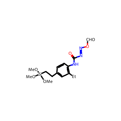 CCc1cc(CC[Si](OC)(OC)OC)ccc1NC(=O)N=NOC=O